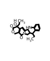 CCC1c2ccccc2NC2c3cc4c(c(=O)n3CC12)COC(=O)C4(O)CC